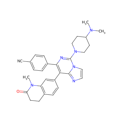 CN1C(=O)CCc2ccc(-c3c(-c4ccc(C#N)cc4)nc(N4CCC(N(C)C)CC4)n4ccnc34)cc21